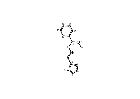 COC(CN=Cc1ccco1)c1ccccc1